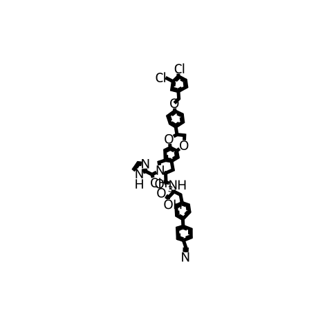 CC(c1ncc[nH]1)N1Cc2cc3c(cc2CC1C(=O)NC(Cc1ccc(-c2ccc(C#N)cc2)cc1)C(=O)O)OCC(c1ccc(OCc2ccc(Cl)c(Cl)c2)cc1)O3